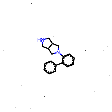 c1ccc(-c2ccccc2N2CC3CNCC3C2)cc1